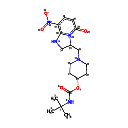 CC(C)(C)NC(=O)OC1CCN(CC2CNc3c([N+](=O)[O-])ccc(=O)n32)CC1